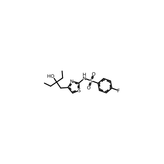 CCC(O)(CC)Cc1csc(NS(=O)(=O)c2ccc(F)cc2)n1